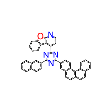 c1ccc2cc(-c3nc(-c4ccc5c(ccc6ccc7ccccc7c65)c4)nc(-c4ccnc5oc6ccccc6c45)n3)ccc2c1